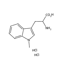 Cl.Cl.Cn1cc(CC(N)C(=O)O)c2ccccc21